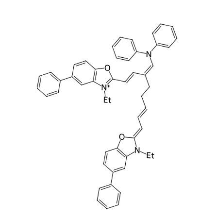 CCN1/C(=C/C=CCC/C(C=Cc2oc3ccc(-c4ccccc4)cc3[n+]2CC)=C/N(c2ccccc2)c2ccccc2)Oc2ccc(-c3ccccc3)cc21